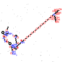 CCCCOc1nc(N)c2nc(OC(=O)N(C)CCN(C)C(=O)OCc3ccc(NC(=O)[C@H](CCCNC(N)=O)NC(=O)[C@@H](NC(=O)[C@H](CCCCNC(=O)CCOCCOCCOCCOCCOCCOCCOCCOCCOCCOCCOCCOCCN(C[C@H](O)[C@@H](O)[C@H](O)[C@H](O)CO)C[C@H](O)[C@@H](O)[C@H](O)[C@H](O)CO)NC(=O)CCCCCN4C(=O)C=CC4=O)C(C)C)cc3)n(Cc3ccccc3)c2n1